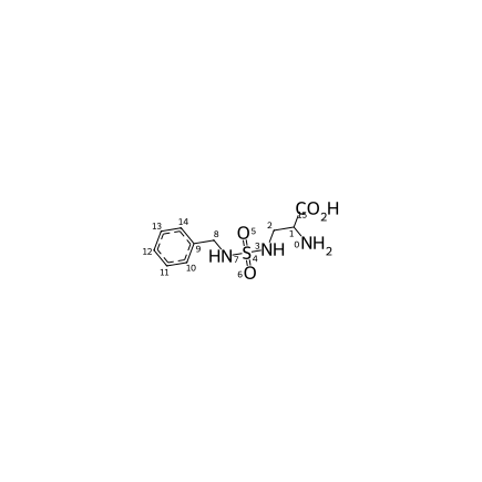 NC(CNS(=O)(=O)NCc1ccccc1)C(=O)O